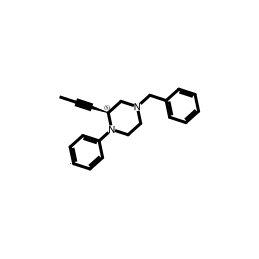 CC#C[C@H]1CN(Cc2ccccc2)CCN1c1cc[c]cc1